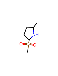 CC1CCC(S(C)(=O)=O)N1